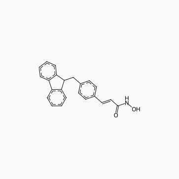 O=C(/C=C/c1ccc(CC2c3ccccc3-c3ccccc32)cc1)NO